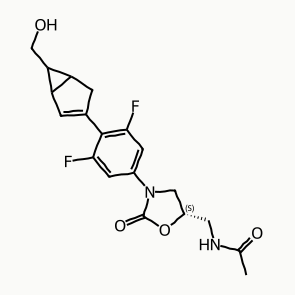 CC(=O)NC[C@H]1CN(c2cc(F)c(C3=CC4C(CO)C4C3)c(F)c2)C(=O)O1